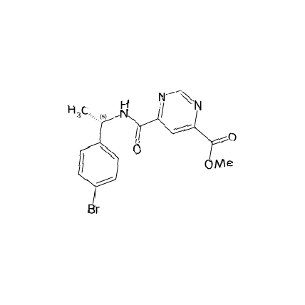 COC(=O)c1cc(C(=O)N[C@@H](C)c2ccc(Br)cc2)ncn1